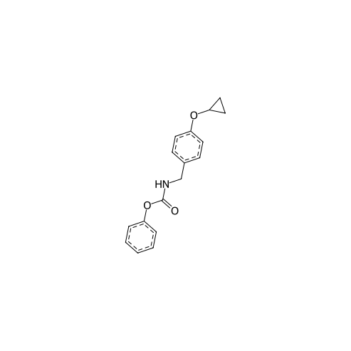 O=C(NCc1ccc(OC2CC2)cc1)Oc1ccccc1